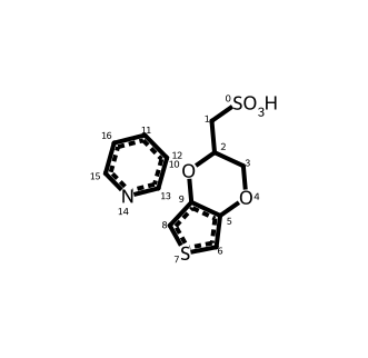 O=S(=O)(O)CC1COc2cscc2O1.c1ccncc1